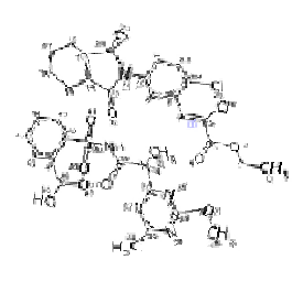 CCOC(=O)/C(Cl)=C/c1cc(N2C(=O)C3=C(CCCC3)C2=O)ccc1Cl.COc1nc(C)nc(N(C)C(=O)NS(=O)(=O)c2ccccc2C(=O)O)n1